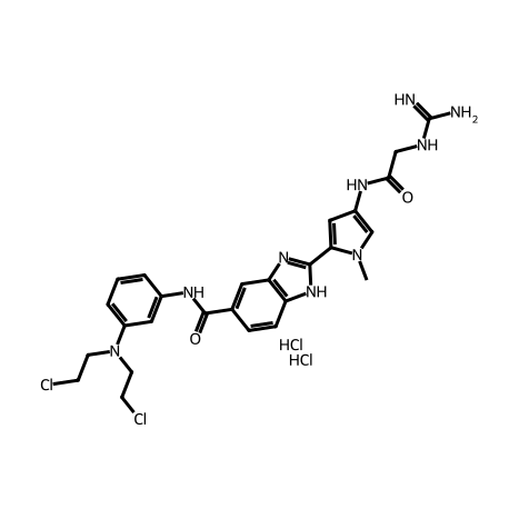 Cl.Cl.Cn1cc(NC(=O)CNC(=N)N)cc1-c1nc2cc(C(=O)Nc3cccc(N(CCCl)CCCl)c3)ccc2[nH]1